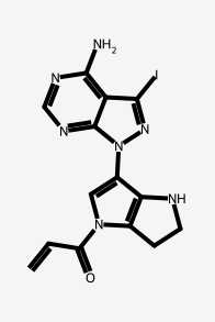 C=CC(=O)n1cc(-n2nc(I)c3c(N)ncnc32)c2c1CCN2